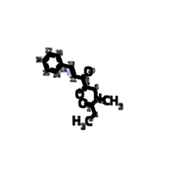 CCC(=O)N(C)CC(=O)C(=O)/C=C/c1ccccc1